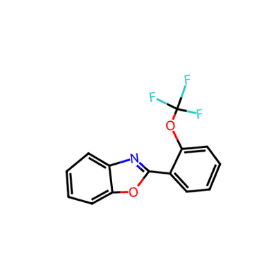 FC(F)(F)Oc1ccccc1-c1nc2ccccc2o1